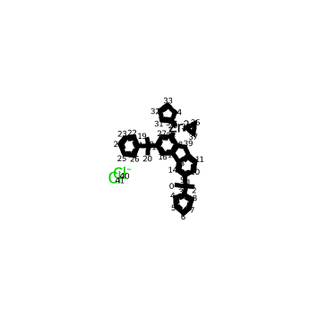 CC(C)(c1ccccc1)c1ccc2c(c1)-c1cc(C(C)(C)c3ccccc3)c[c]([Zr+2]([C]3=CC=CC3)=[C]3CC3)c1C2.[Cl-].[Cl-]